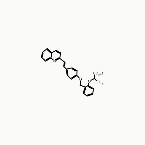 CCOC(=O)C(C)Oc1ccccc1COc1ccc(C=Cc2ccc3ccccc3n2)cc1